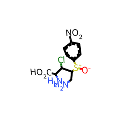 NCC(C(Cl)C(N)C(=O)O)[S+]([O-])c1ccc([N+](=O)[O-])cc1